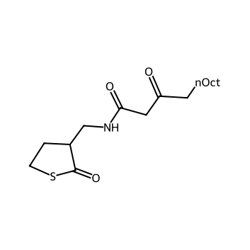 CCCCCCCCCC(=O)CC(=O)NCC1CCSC1=O